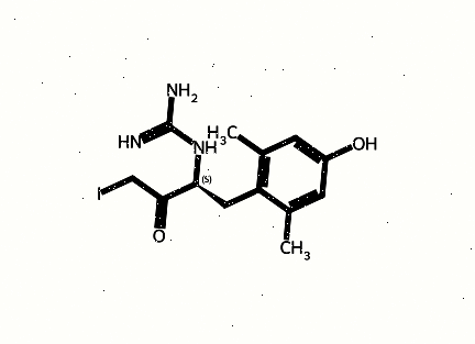 Cc1cc(O)cc(C)c1C[C@H](NC(=N)N)C(=O)CI